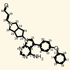 Nc1ncnc2c1c(-c1ccc(Oc3ccccc3)cc1)cn2C1CC2CN(C=CC=O)CC2C1